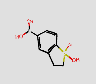 OB(O)c1ccc2c(c1)CCS2(O)O